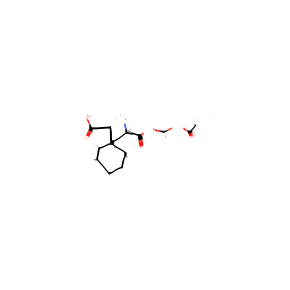 CC(=O)OCOC(=O)C(N)C1(CC(=O)O)CCCCC1